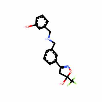 Oc1cccc(CNCc2cccc(C3=NOC(O)(C(F)(F)F)C3)c2)c1